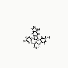 Oc1cccc(-c2c(C3CCOCC3)n(-c3ccc(F)cc3)c3cc4cn[nH]c4cc23)c1